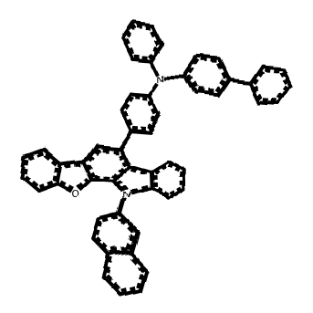 c1ccc(-c2ccc(N(c3ccccc3)c3ccc(-c4cc5c6ccccc6oc5c5c4c4ccccc4n5-c4ccc5ccccc5c4)cc3)cc2)cc1